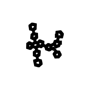 c1ccc(-c2ccc(-c3c4ccccc4c(-c4ccc(-c5ccccc5)cc4)c4cc(-c5ccc6c(c5)c5cc(-c7ccccn7)ncc5n6-c5ccccc5)ccc34)cc2)cc1